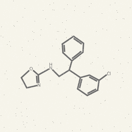 Clc1cccc(C(CNC2=NCCO2)c2ccccc2)c1